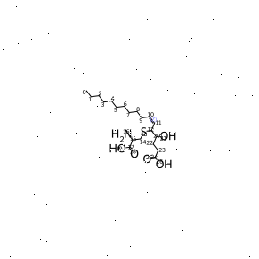 CCCCCCCCCC/C=C\C(SCC(N)C(=O)O)C(O)CCC(=O)O